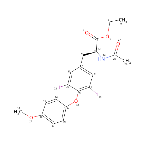 CCOC(=O)[C@H](Cc1cc(I)c(Oc2ccc(OC)cc2)c(I)c1)NC(C)=O